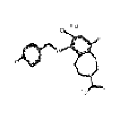 Cl.O=C(N1CCc2c(F)cc(Cl)c(OCc3ccc(F)cc3)c2CC1)C(F)(F)F